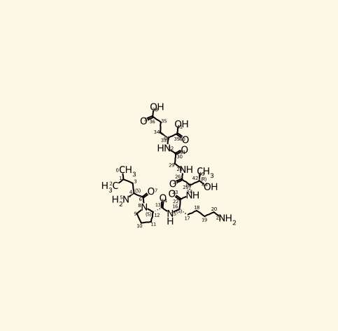 CC(C)C[C@H](N)C(=O)N1CCC[C@H]1C(=O)N[C@@H](CCCCN)C(=O)N[C@H](C(=O)NCC(=O)N[C@@H](CCC(=O)O)C(=O)O)[C@@H](C)O